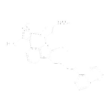 CCOC(=O)c1c(CCCOc2cccc3ccccc23)c2cccc(-c3c(C)n[nH]c3CBr)c2n1CCCNC